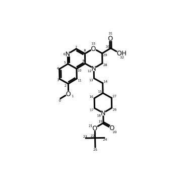 COc1ccc2ncc3c(c2c1)N(CCC1CCN(C(=O)OC(C)(C)C)CC1)CC(C(=O)O)O3